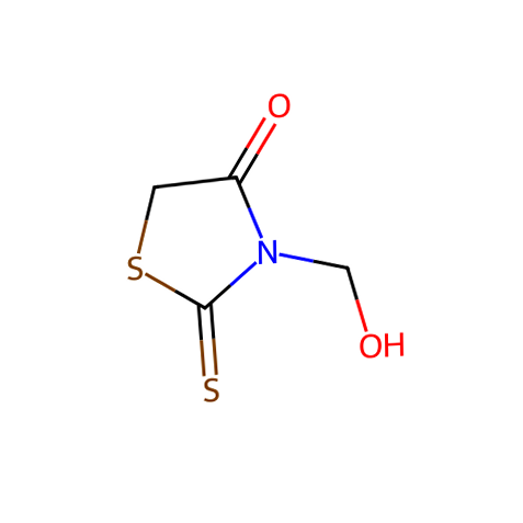 O=C1CSC(=S)N1CO